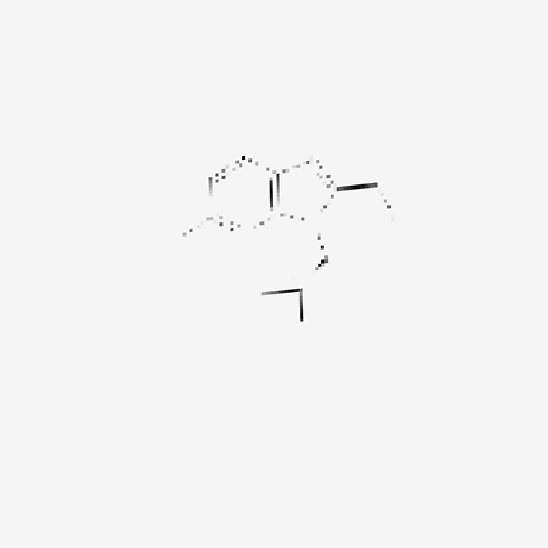 Cc1ccc2nc(CCl)n(C[C@@H]3CCO3)c2n1